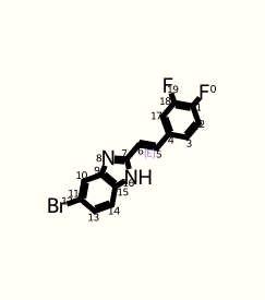 Fc1ccc(/C=C/c2nc3cc(Br)ccc3[nH]2)cc1F